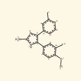 CCOc1ccc(-c2[nH]c(N)nc2-c2ccnc(C)c2)cc1F